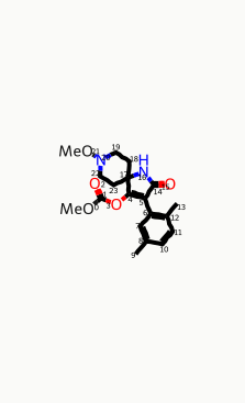 COC(=O)OC1=C(c2cc(C)ccc2C)C(=O)NC12CCN(OC)CC2